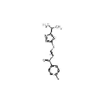 CC(C)c1nnc(S/C=C/C(=O)c2ccc(F)cc2)o1